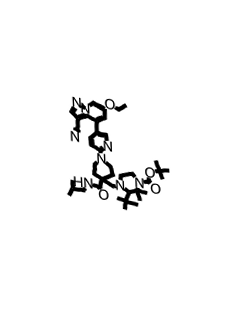 CCOc1cc(-c2ccc(N3CCC(CN4CCN(C(=O)OC(C)(C)C)C(C)(C)C4C(C)(C)C)(C(=O)NCC(C)C)CC3)nc2)c2c(C#N)cnn2c1